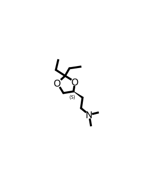 CCC1(CC)OC[C@H](CCN(C)C)O1